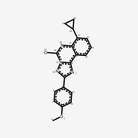 COc1ccc(-c2nc3c4cccc(C5CC5)c4nc(Cl)n3n2)cc1